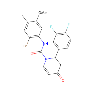 COc1cc(NC(=O)N2C=CC(=O)CC2c2ccc(F)c(F)c2)c(Br)cc1C